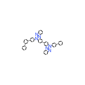 c1ccc(-c2ccc(-n3c4ccc(-c5ccc6c(c5)n5c7ccccc7nc5n6-c5ccc(-c6cccc(-c7ccccc7)c6)cc5)cc4n4c5ccccc5nc34)cc2)cc1